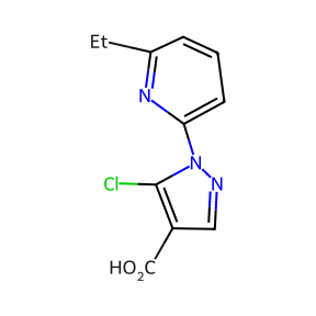 CCc1cccc(-n2ncc(C(=O)O)c2Cl)n1